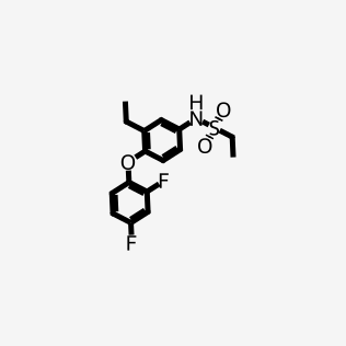 CCc1cc(NS(=O)(=O)CC)ccc1Oc1ccc(F)cc1F